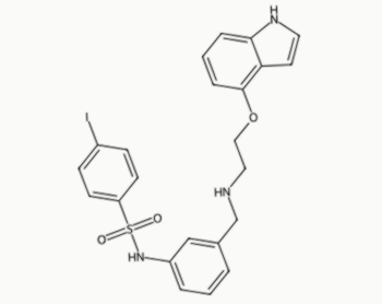 O=S(=O)(Nc1cccc(CNCCOc2cccc3[nH]ccc23)c1)c1ccc(I)cc1